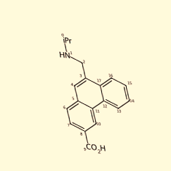 CC(C)NCc1cc2ccc(C(=O)O)cc2c2ccccc12